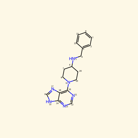 c1ccc(CNC2CCN(c3ncnc4[nH]cnc34)CC2)cc1